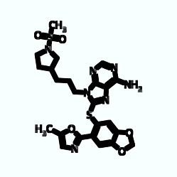 Cc1cnc(-c2cc3c(cc2Sc2nc4c(N)ncnc4n2CCCC2CCN(S(C)(=O)=O)C2)OCO3)o1